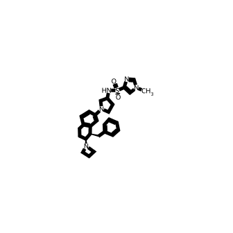 Cn1cnc(S(=O)(=O)NC2CCN(c3ccc4c(c3)[C@@H](Cc3ccccc3)[C@@H](N3CCC3)CC4)C2)c1